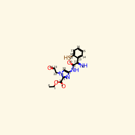 CCOC(=O)c1nc(NC(=O)C(=N)c2ccccc2S)cn1CC=O